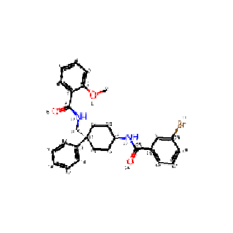 COc1ccccc1C(=O)NC[C@]1(c2ccccc2)CC[C@@H](NC(=O)c2cccc(Br)c2)CC1